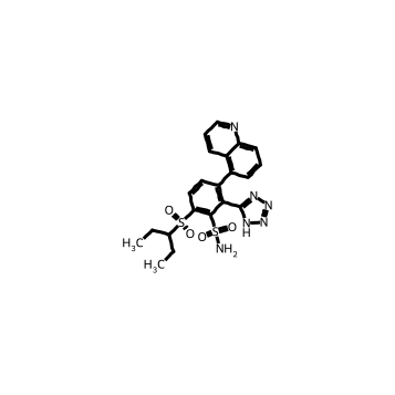 CCC(CC)S(=O)(=O)c1ccc(-c2cccc3ncccc23)c(-c2nnn[nH]2)c1S(N)(=O)=O